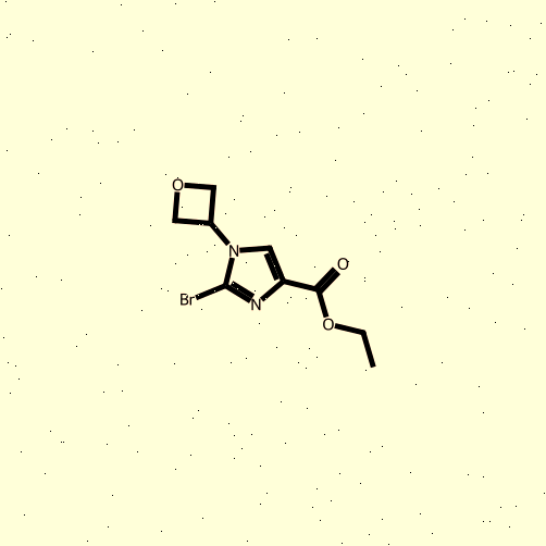 CCOC(=O)c1cn(C2COC2)c(Br)n1